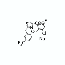 O=C([O-])c1csc(Cc2cc(C(F)(F)F)ccc2OCc2ccc(F)cc2Cl)n1.[Na+]